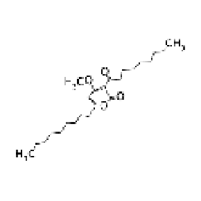 CCCCCCCCCc1cc(OC)c(C(=O)CCCCCCCC)c(=O)o1